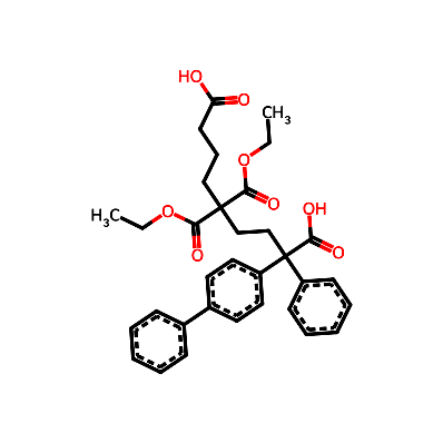 CCOC(=O)C(CCCC(=O)O)(CCC(C(=O)O)(c1ccccc1)c1ccc(-c2ccccc2)cc1)C(=O)OCC